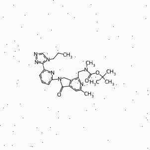 CCCn1cnnc1-c1cccc(N2Cc3c(cc(C)nc3CN(C)C(=O)OC(C)(C)C)C2=O)n1